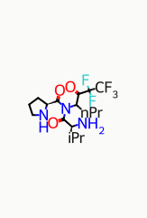 CCCC(C(=O)C(F)(F)C(F)(F)F)N(C(=O)[C@@H]1CCCN1)C(=O)[C@@H](N)C(C)C